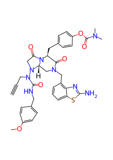 C#CCN(C(=O)NCc1ccc(OC)cc1)N1CC(=O)N2[C@@H](Cc3ccc(OC(=O)N(C)C)cc3)C(=O)N(Cc3cccc4sc(N)nc34)C[C@@H]21